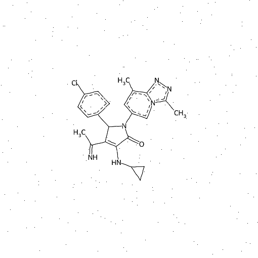 CC(=N)C1=C(NC2CC2)C(=O)N(c2cc(C)c3nnc(C)n3c2)C1c1ccc(Cl)cc1